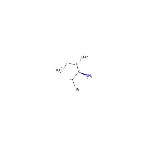 CC(=O)O[C@@H](CC(=O)O)[C@@H](N)CC(C)C